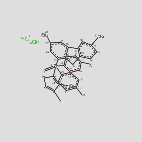 Cl.Cl.[CH2]=[Zr]([C]1=C(C(C)(C)C)C(C)=CC1)([c]1ccc(C)cc1)([c]1ccc(C)cc1)[c]1cc(C(C)(C)C)cc2c1Cc1ccc(C(C)(C)C)cc1-2